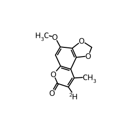 [2H]c1c(C)c2c3c(c(OC)cc2oc1=O)OCO3